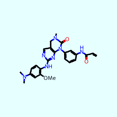 C=CC(=O)Nc1cccc(N2C(=O)N(C)Cc3cnc(Nc4ccc(N(C)C)cc4OC)nc32)c1